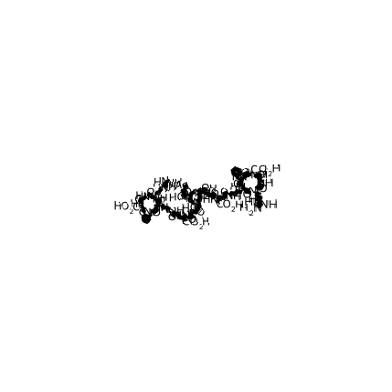 CC(=O)CCP(=O)(O)CN1CCN(CP(=O)(O)CCC(=O)NC(CCC(=O)NCCCC[C@@H]2NC(=O)[C@@H](Cc3ccccc3)NC(=O)[C@H](CC(=O)O)NC(=O)CNC(=O)[C@H](CCCNC(=N)N)NC2=O)C(=O)O)CCN(CP(=O)(O)CCC(=O)N[C@@H](CCC(=O)NCCCC[C@@H]2NC(=O)[C@@H](Cc3ccccc3)NC(=O)[C@H](CC(=O)O)NC(=O)CNC(=O)[C@H](CCCNC(=N)N)NC2=O)C(=O)O)CC1